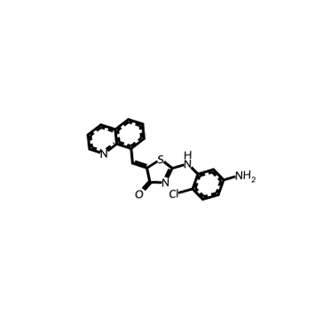 Nc1ccc(Cl)c(NC2=NC(=O)C(=Cc3cccc4cccnc34)S2)c1